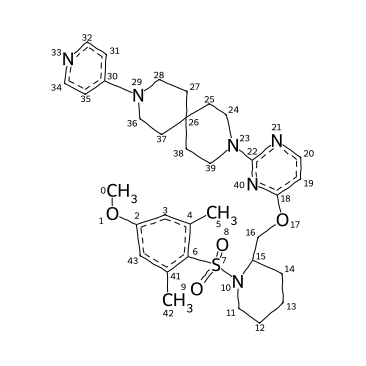 COc1cc(C)c(S(=O)(=O)N2CCCCC2COc2ccnc(N3CCC4(CCN(c5ccncc5)CC4)CC3)n2)c(C)c1